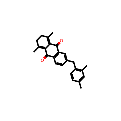 CC1=C2C(=O)c3ccc(Cc4ccc(C)cc4C)cc3C(=O)C2=C(C)CC1